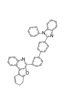 C1=Cc2c(oc3c(-c4cccc(-c5ccc(-c6nc7ccccc7n6-c6ccccc6)cc5)c4)nc4ccccc4c23)CC1